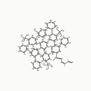 C=C/C=C\C=C(/C)c1cc(-c2ccccc2)c(-c2cc(C(C)(C)C)ccc2-c2cc(-c3ccc(C(C)(C)C)cc3-c3cnc(-c4ccccc4)cc3C)cc(-c3ccc(C(C)(C)C)cc3-c3cnc(-c4ccccc4)cc3-c3ccccc3)c2)cn1